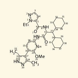 CCn1nccc1C(=O)NC(C(=O)Nc1ccc(-c2c(C)n[nH]c2C)c(OC)n1)C(C1CCCCC1)C1CCCCC1